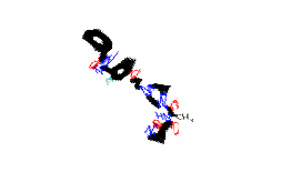 C[C@@H](NC(=O)c1ccno1)C(=O)N1CCN(CCCOc2ccc(-c3noc(-c4ccccc4)n3)c(F)c2)CC1